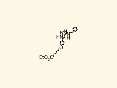 CCOC(=O)CCCCCCOc1ccc(-c2cc3c(NCCc4ccccc4)ncnc3[nH]2)cc1